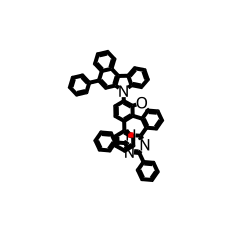 c1ccc(-c2nc(-c3ccccc3)nc(-c3cccc4oc5c(-n6c7ccccc7c7c8ccccc8c(-c8ccccc8)cc76)ccc(-c6ccccc6)c5c34)n2)cc1